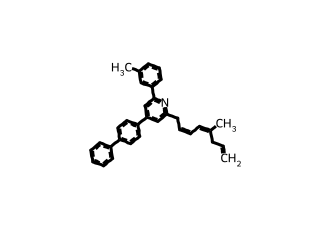 C=CC/C(C)=C\C=C/Cc1cc(-c2ccc(-c3ccccc3)cc2)cc(-c2cccc(C)c2)n1